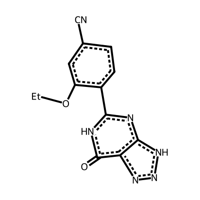 CCOc1cc(C#N)ccc1-c1nc2[nH]nnc2c(=O)[nH]1